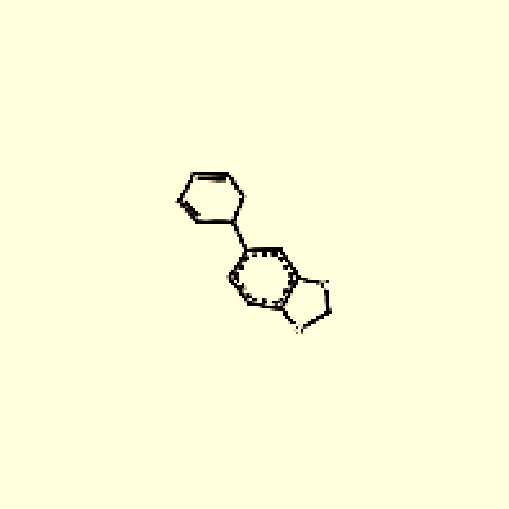 C1=CCC(c2ccc3c(c2)OCO3)C=C1